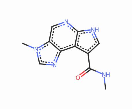 CNC(=O)c1c[nH]c2ncc3c(ncn3C)c12